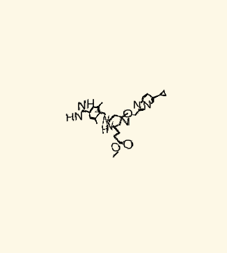 CCOC(=O)CCc1nc(NCc2c(C)cc(C(=N)N)cc2C)cc(OCc2cn3cc(C4CC4)ccc3n2)n1